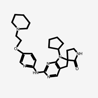 O=C1NCCC12Cc1cnc(Nc3ccc(OCCN4CCCCC4)cn3)nc1N2C1CCCC1